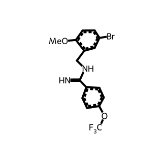 COc1ccc(Br)cc1CNC(=N)c1ccc(OC(F)(F)F)cc1